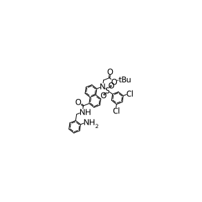 CC(C)(C)OC(=O)CN(c1cccc2c(C(=O)NCc3ccccc3N)cccc12)S(=O)(=O)c1cc(Cl)cc(Cl)c1